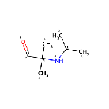 CC(C)NC(C)(C)C=O